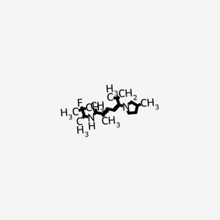 C=C(NC(C)C(C)(C)F)/C(C)=C/C=C(\C(=C)C)N1CCC(C)C1